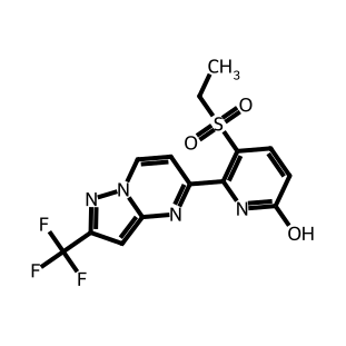 CCS(=O)(=O)c1ccc(O)nc1-c1ccn2nc(C(F)(F)F)cc2n1